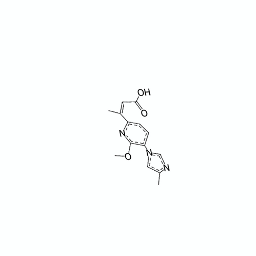 COc1nc(/C(C)=C\C(=O)O)ccc1-n1cnc(C)c1